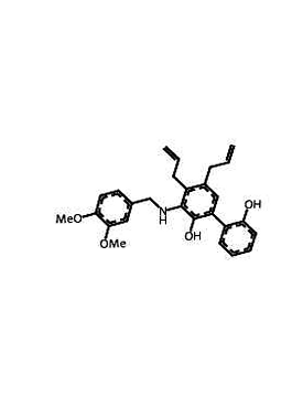 C=CCc1cc(-c2ccccc2O)c(O)c(NCc2ccc(OC)c(OC)c2)c1CC=C